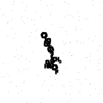 CCC1(CCCCN2CCN(C3=COC(C4=CC=CCC4)=CO3)CC2)C(=O)Nc2cc(F)ccc21